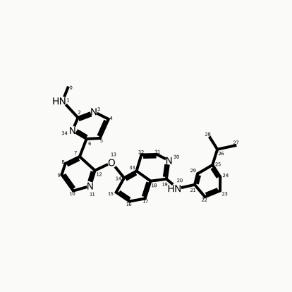 CNc1nccc(-c2cccnc2Oc2cccc3c(Nc4cccc(C(C)C)c4)nccc23)n1